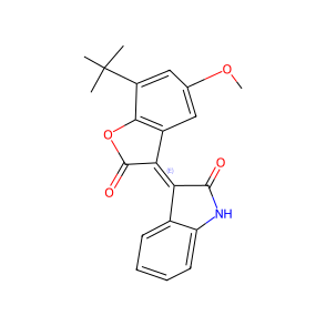 COc1cc2c(c(C(C)(C)C)c1)OC(=O)/C2=C1/C(=O)Nc2ccccc21